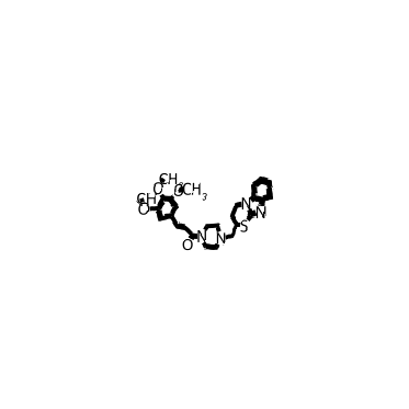 COc1cc(C=CC(=O)N2CCN(CC3CCn4c(nc5ccccc54)S3)CC2)cc(OC)c1OC